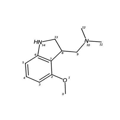 COc1cccc2c1C(CN(C)C)CN2